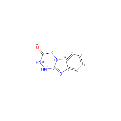 O=C1Cn2c(nc3ccccc32)NN1